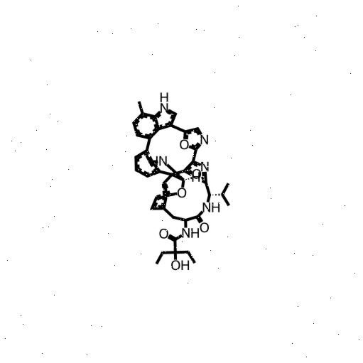 CCC(O)(CC)C(=O)NC1Cc2ccc3c(c2)C24c5cccc(c5N[C@H]2O3)-c2ccc(C)c3[nH]cc(c23)-c2cnc(o2)-c2nc(oc24)[C@H](C(C)C)NC1=O